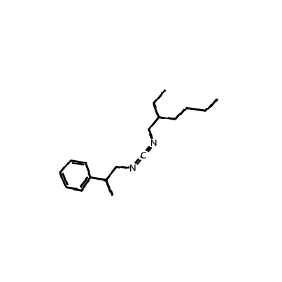 CCCCC(CC)CN=C=NCC(C)c1ccccc1